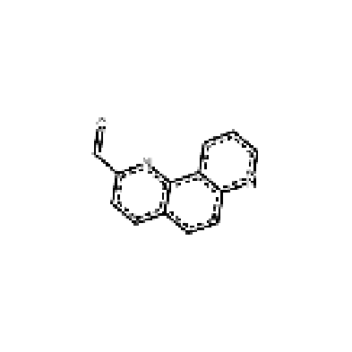 O=Cc1ccc2ccc3ncccc3c2n1